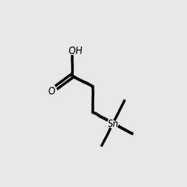 [CH3][Sn]([CH3])([CH3])[CH2]CC(=O)O